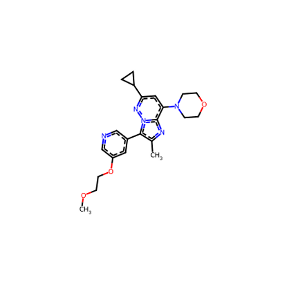 COCCOc1cncc(-c2c(C)nc3c(N4CCOCC4)cc(C4CC4)nn23)c1